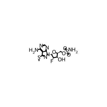 CSc1nn([C@@H]2O[C@@H](COS(N)(=O)=O)[C@@H](O)[C@@H]2F)c2ncnc(N)c12